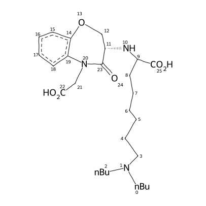 CCCCN(CCCC)CCCCCCC(N[C@H]1COc2ccccc2N(CC(=O)O)C1=O)C(=O)O